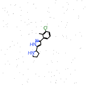 Cc1c(Cl)cccc1-c1cc(C2CCCN2)[nH]n1